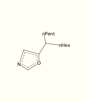 CCCCCCC(CCCCC)c1cnco1